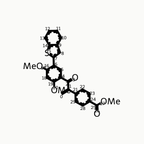 C=C(C(=O)c1cc(-c2cc3ccccc3s2)c(OC)cc1OC)c1ccc(C(=O)OC)cc1